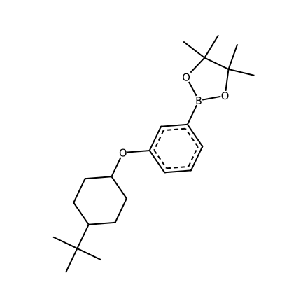 CC(C)(C)C1CCC(Oc2cccc(B3OC(C)(C)C(C)(C)O3)c2)CC1